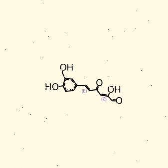 O=C/C(O)=C/C(=O)/C=C/c1ccc(O)c(CO)c1